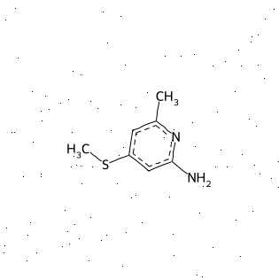 CSc1cc(C)nc(N)c1